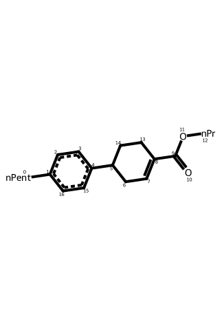 CCCCCc1ccc(C2CC=C(C(=O)OCCC)CC2)cc1